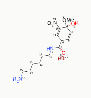 Br.COC1(O)C=CC(C(=O)NCCCCCCN)C=C1[N+](=O)[O-]